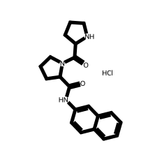 Cl.O=C(Nc1ccc2ccccc2c1)C1CCCN1C(=O)C1CCCN1